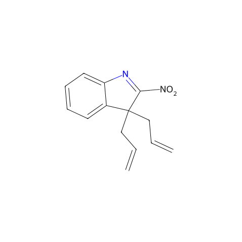 C=CCC1(CC=C)C([N+](=O)[O-])=Nc2ccccc21